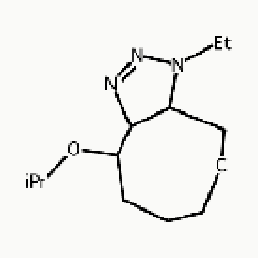 CCN1N=NC2C(OC(C)C)CCCCCC21